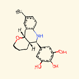 CC(C)(C)c1ccc2c(c1)[C@H]1OCCC[C@H]1[C@H](c1cc(O)c(O)c(O)c1)N2